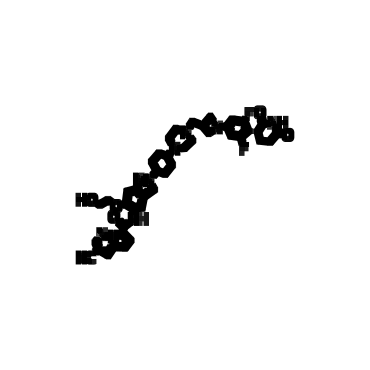 N#Cc1cnn2c(C(=O)Nc3cc4cn(C5CCC(N6CCN(CC7CN(c8cc(F)c([C@H]9CCC(=O)NC9=O)c(F)c8)C7)CC6)CC5)nc4cc3OCCO)ccc2c1